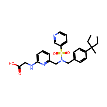 CCC(C)(CC)c1ccc(CN(Cc2cccc(NCC(=O)O)n2)S(=O)(=O)c2cccnc2)cc1